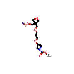 CC(C)(C)OC(=O)N1CC(OCCCOCC2(COSI)COC2)C1